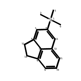 C[Si](C)(C)c1cc2c3c(cccc3c1)CC2